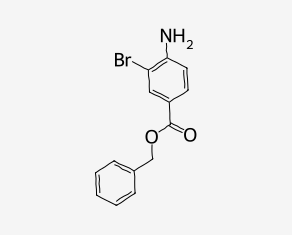 Nc1ccc(C(=O)OCc2ccccc2)cc1Br